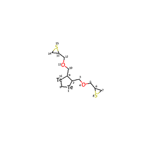 C1[Te]C(COCC2CS2)C(COCC2CS2)[Te]1